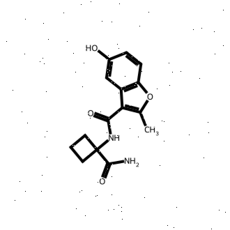 Cc1oc2ccc(O)cc2c1C(=O)NC1(C(N)=O)CCC1